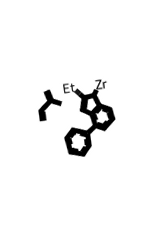 C=CC(=C)C.CCC1=Cc2c(-c3ccccc3)cccc2[CH]1[Zr]